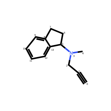 C#CCN(C)C1CCc2ccccc21